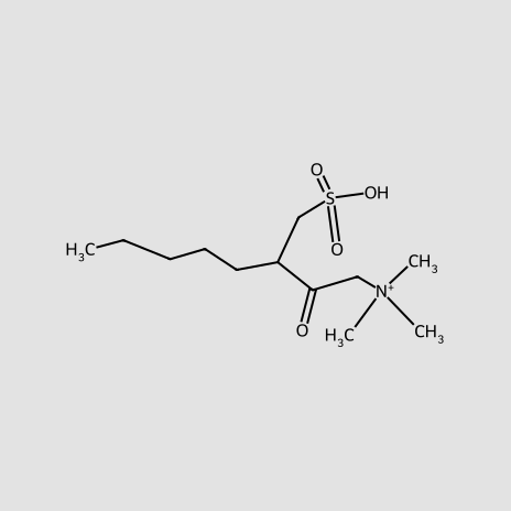 CCCCCC(CS(=O)(=O)O)C(=O)C[N+](C)(C)C